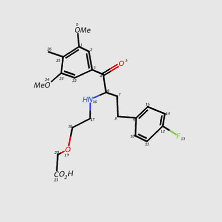 COc1cc(C(=O)C(CCc2ccc(F)cc2)NCCOCC(=O)O)cc(OC)c1C